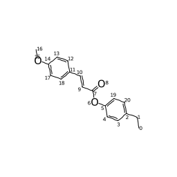 CCc1ccc(OC(=O)/C=C/c2ccc(OC)cc2)cc1